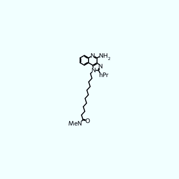 CCCc1nc2c(N)nc3ccccc3c2n1CCCCCCCCCCCC(=O)NC